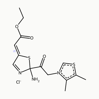 CCOC(=O)/C=C1/C=NC(N)(C(=O)C[n+]2csc(C)c2C)S1.[Cl-]